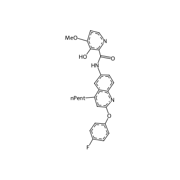 CCCCCc1cc(Oc2ccc(F)cc2)nc2ccc(NC(=O)c3nccc(OC)c3O)cc12